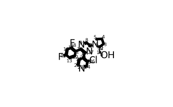 OC[C@@H]1CCCN1c1cnc(-c2ccc(F)cc2F)c(-c2ccncc2Cl)n1